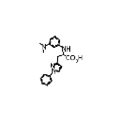 CN(C)c1cccc(NC(Cc2ccn(-c3ccccc3)n2)C(=O)O)c1